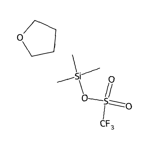 C1CCOC1.C[Si](C)(C)OS(=O)(=O)C(F)(F)F